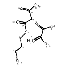 C=C(C)C(=O)O.CCCCOC(=O)CC(C)=O